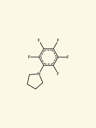 Fc1c(F)c(F)c(N2CCCC2)c(F)c1F